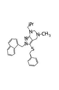 CC(C)CN1CN(C)Cc2c1nn(Cc1cccc3ccccc13)c2SCc1ccccc1